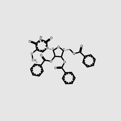 COc1cn([C@@H]2O[C@H](COC(=O)c3ccccc3)C(OC(=O)c3ccccc3)C2OC(=O)c2ccccc2)c(=O)[nH]c1=O